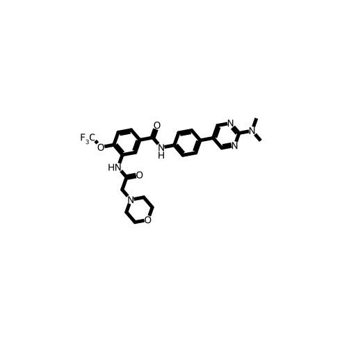 CN(C)c1ncc(-c2ccc(NC(=O)c3ccc(OC(F)(F)F)c(NC(=O)CN4CCOCC4)c3)cc2)cn1